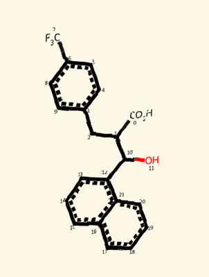 O=C(O)C(Cc1ccc(C(F)(F)F)cc1)C(O)c1cccc2ccccc12